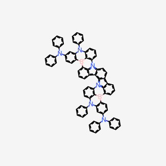 c1ccc(N(c2ccccc2)c2ccc3c(c2)N(c2ccccc2)c2cccc4c2B3c2cccc3c5c(ccc6c7cccc8c7n(c65)-c5cccc6c5B8c5ccc(N(c7ccccc7)c7ccccc7)cc5N6c5ccccc5)n-4c23)cc1